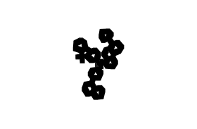 CC1(C)c2ccccc2-c2ccc(N(c3ccc(-c4cccc5ccccc45)cc3)c3cccc4c3ccc3c(-c5ccccc5)cccc34)cc21